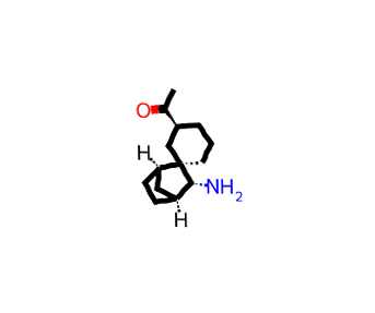 CC(=O)[C@H]1CCC[C@@]2(C1)[C@@H]1CC[C@@H](C1)[C@H]2N